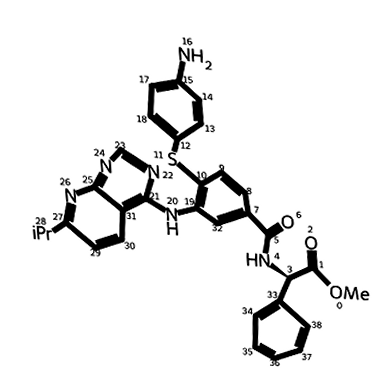 COC(=O)[C@H](NC(=O)c1ccc(Sc2ccc(N)cc2)c(Nc2ncnc3nc(C(C)C)ccc23)c1)c1ccccc1